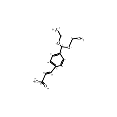 CCOC(OCC)c1ccc(/C=C/C(=O)O)cc1